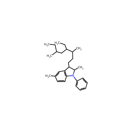 CCC(C)CC(CC)C(C)CCC1c2cc(C)ccc2N(c2ccccc2)C1C